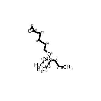 CCC[Si](OC)(OC)OCCCCC1CO1